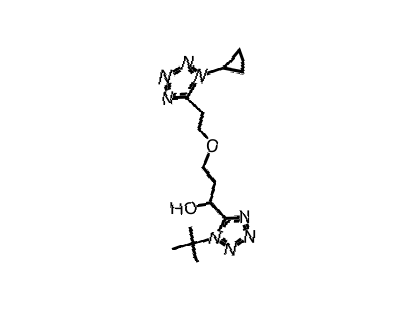 CC(C)(C)n1nnnc1C(O)CCOCCc1nnnn1C1CC1